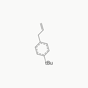 C=CCc1ccc(C(C)(C)C)cc1